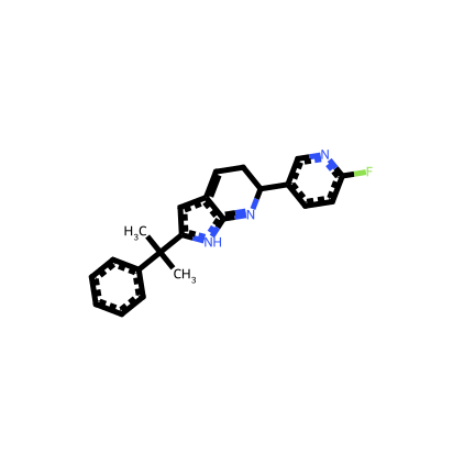 CC(C)(c1ccccc1)c1cc2c([nH]1)=NC(c1ccc(F)nc1)CC=2